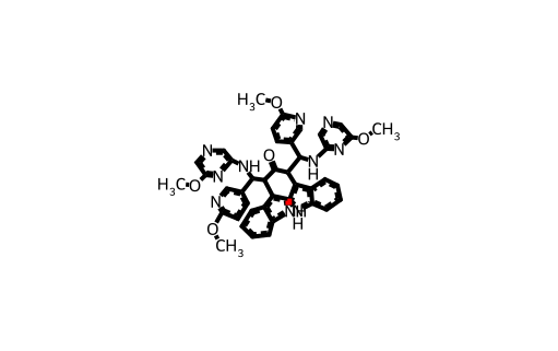 COc1ccc(C(Nc2cncc(OC)n2)C(C(=O)C(c2c[nH]c3ccccc23)C(Nc2cncc(OC)n2)c2ccc(OC)nc2)c2c[nH]c3ccccc23)cn1